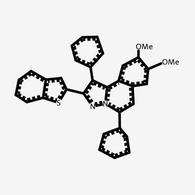 COc1cc2cc(-c3ccccc3)n3nc(-c4cc5ccccc5s4)c(-c4ccccc4)c3c2cc1OC